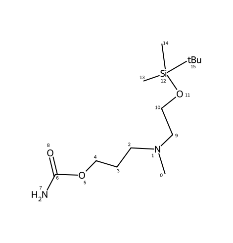 CN(CCCOC(N)=O)CCO[Si](C)(C)C(C)(C)C